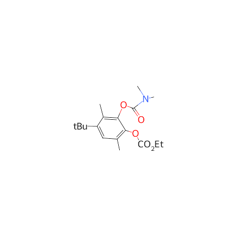 CCOC(=O)Oc1c(C)cc(C(C)(C)C)c(C)c1OC(=O)N(C)C